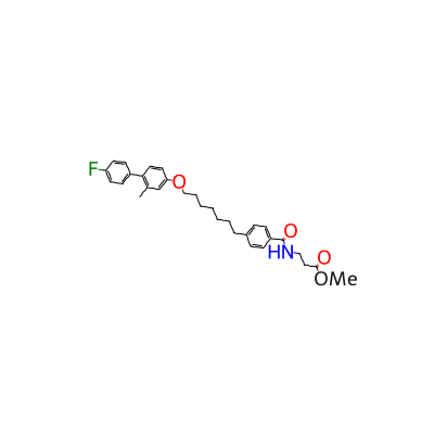 COC(=O)CCNC(=O)c1ccc(CCCCCCCOc2ccc(-c3ccc(F)cc3)c(C)c2)cc1